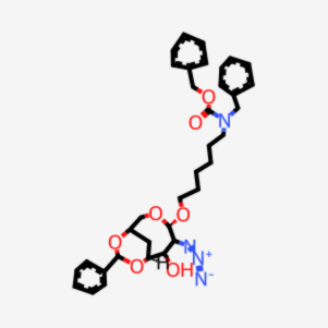 [N-]=[N+]=NC1C(O)[C@@H]2CC(CO[C@H]1OCCCCCCN(Cc1ccccc1)C(=O)OCc1ccccc1)OC(c1ccccc1)O2